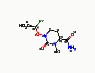 CCN1C(=O)N(O[C@H](F)C(=O)O)CC[C@H]1C(N)=O